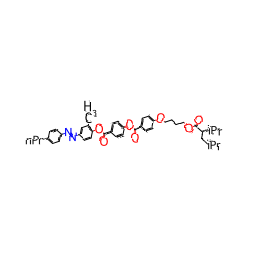 CCCc1ccc(/N=N/c2ccc(OC(=O)c3ccc(OC(=O)c4ccc(OCCCCOC(=O)C(CC(C)C)C(C)C)cc4)cc3)c(C)c2)cc1